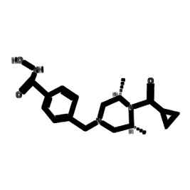 C[C@@H]1CN(Cc2ccc(C(=O)NO)cc2)C[C@H](C)N1C(=O)C1CC1